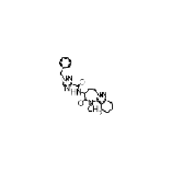 CN1C(=O)C(NC(=O)c2ncn(Cc3ccccc3)n2)CCn2nc3c(c21)CCCC3